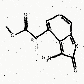 COC(=O)[C@@H](C)c1cccc2c1=C(N)C(=O)N=2